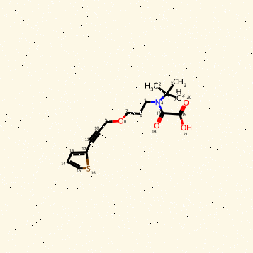 CC(C)(C)N(CCCOCC#Cc1cccs1)C(=O)C(=O)O